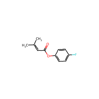 CC(C)=CC(=O)Oc1ccc(F)cc1